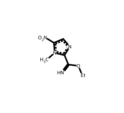 CCOC(=N)c1ncc([N+](=O)[O-])n1C